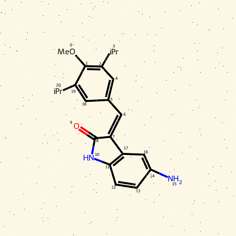 COc1c(C(C)C)cc(/C=C2\C(=O)Nc3ccc(N)cc32)cc1C(C)C